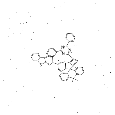 CC1(C)c2ccccc2C2(c3ccccc31)c1cccc(-c3nc(-c4ccccc4)nc(-c4ccccc4)n3)c1C1C=C(c3ccc4c(c3)sc3ccccc34)C=CC12